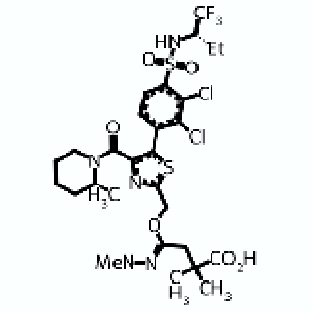 CC[C@H](NS(=O)(=O)c1ccc(-c2sc(CO/C(CC(C)(C)C(=O)O)=N\NC)nc2C(=O)N2CCCC[C@@H]2C)c(Cl)c1Cl)C(F)(F)F